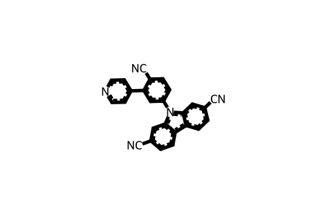 N#Cc1ccc2c3ccc(C#N)cc3n(-c3ccc(C#N)c(-c4ccncc4)c3)c2c1